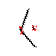 CCCCCCCCCCCCCCCCCC(=O)OCC(C)OC(=O)CCCCCCCCCCCCCCCCC.OCCO